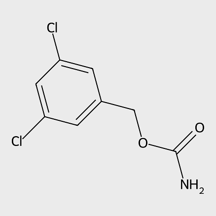 NC(=O)OCc1cc(Cl)cc(Cl)c1